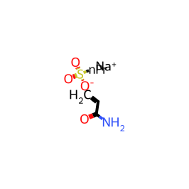 C=CC(N)=O.CCCS(=O)(=O)[O-].[Na+]